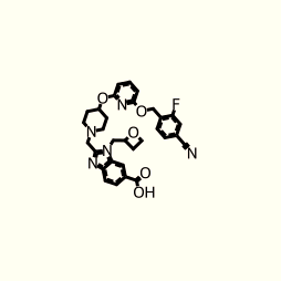 N#Cc1ccc(COc2cccc(OC3CCN(Cc4nc5ccc(C(=O)O)cc5n4CC4CCO4)CC3)n2)c(F)c1